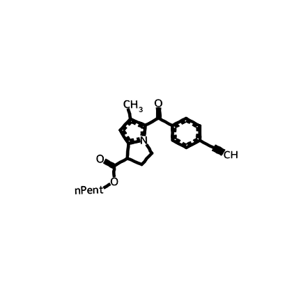 C#Cc1ccc(C(=O)c2c(C)cc3n2CCC3C(=O)OCCCCC)cc1